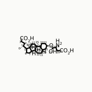 C[C@H](CCC(=O)O)C1CC[C@H]2[C@@H]3CC[C@@H]4C[C@@H](OC(O)[C@H](N)CC(=O)O)CC[C@]4(C)[C@H]3CC[C@]12C